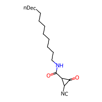 [C-]#[N+]C1C(=O)C1C(=O)NCCCCCCCCCCCCCCCCCC